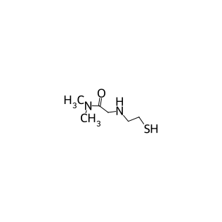 CN(C)C(=O)CNCCS